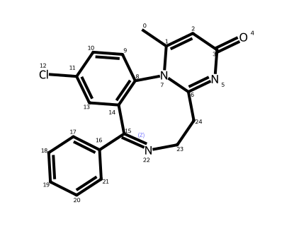 Cc1cc(=O)nc2n1-c1ccc(Cl)cc1/C(c1ccccc1)=N\CC2